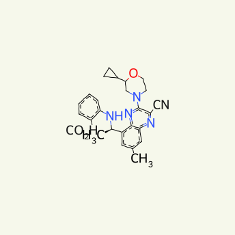 Cc1cc([C@@H](C)Nc2ccccc2C(=O)O)c2nc(N3CCOC(C4CC4)C3)c(C#N)nc2c1